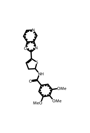 COc1cc(C(=O)NC2CC=C(c3nc4cnccc4o3)S2)cc(OC)c1OC